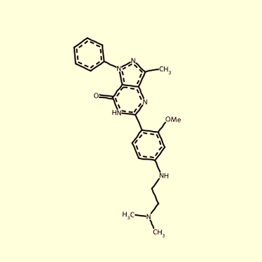 COc1cc(NCCN(C)C)ccc1-c1nc2c(C)nn(-c3ccccc3)c2c(=O)[nH]1